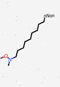 CCCCCCCCCCCCCCCCCCN(C)OCC